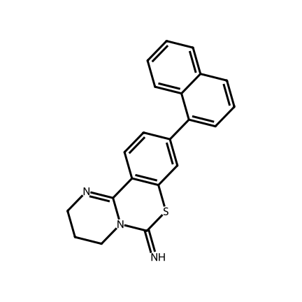 N=C1Sc2cc(-c3cccc4ccccc34)ccc2C2=NCCCN12